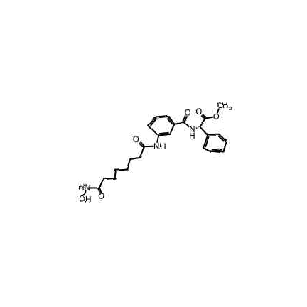 COC(=O)[C@@H](NC(=O)c1cccc(NC(=O)CCCCCCC(=O)NO)c1)c1ccccc1